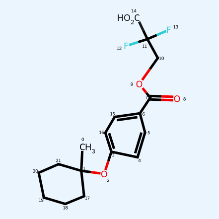 CC1(Oc2ccc(C(=O)OCC(F)(F)C(=O)O)cc2)CCCCC1